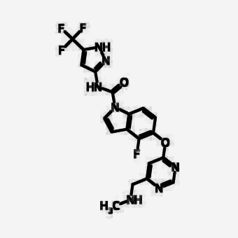 CNCc1cc(Oc2ccc3c(ccn3C(=O)Nc3cc(C(F)(F)F)[nH]n3)c2F)ncn1